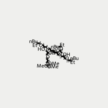 CCCCC(CC)COCC(O)CN(CCCCCCN(CC(O)COCC(CC)CCCC)CC(O)OC(CC)CCCC)CC(O)COCCC[Si](OC)(OC)OC